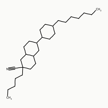 CCCCCCCC1CCC(C2CCC3CC(C#N)(CCCCC)CCC3C2)CC1